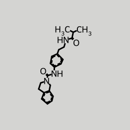 CC(C)C(=O)NCCc1ccc(NC(=O)N2CCc3ccccc3C2)cc1